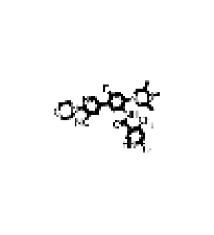 CC1CN(c2cc(F)c(-c3cnc(N4CCOCC4)c(C#N)c3)cc2NC(=O)c2c[nH]c(=O)cc2C(F)(F)F)CC(C)N1C